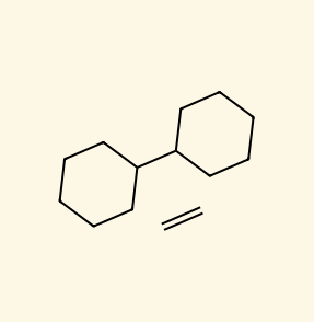 C1CCC(C2CCCCC2)CC1.C=C